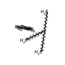 CCCCCCCCCCCCN(CCCCCCCCCCCC)CCCCCCCCCCCC.N.N.N.N.O.O.O.O